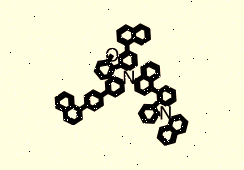 c1ccc2c(-c3ccc(-c4ccc(N(c5ccc(-c6cccc7c6c6ccccc6n7-c6cccc7ccccc67)c6ccccc56)c5ccc(-c6cccc7ccccc67)c6oc7ccccc7c56)cc4)cc3)cccc2c1